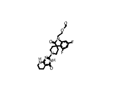 O=COCCN1C(=O)C2(CCN(c3nc4c(c(=O)[nH]3)CCCN4)CC2)c2c(F)cc(F)cc21